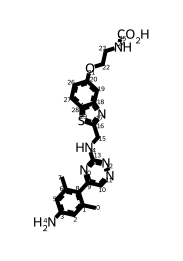 Cc1cc(N)cc(C)c1-c1cnnc(NCc2nc3cc(OCCNC(=O)O)ccc3s2)n1